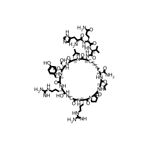 CC(C)C[C@@H]1NC(=O)[C@@H](NC(=O)[C@@H](NC(=O)[C@H](CCC(N)=O)NC(=O)[C@@H](N)Cc2cnc[nH]2)C(C)C)CSSC[C@@H](C(N)=O)NC(=O)[C@H](C(C)C)NC(=O)[C@@H]2CCCN2C(=O)[C@H](CCCNC(=N)N)NC(=O)CNC(O)[C@H](CCCNC(=N)N)NC(=O)[C@H](Cc2ccc(O)cc2)NC(O)[C@H](CO)NC1=O